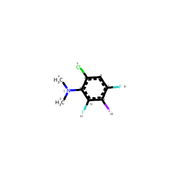 CN(C)c1c(Cl)cc(F)c(I)c1F